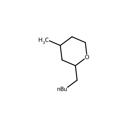 CCCCCC1CC(C)CCO1